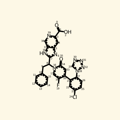 O=C(O)c1cc2nc(C(Cc3ccccc3)n3cc(F)c(-c4cc(Cl)ccc4-n4cnnn4)cc3=O)[nH]c2cn1